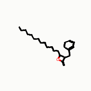 C=C1OC(CCCCCCCCCCCCC)C1Cc1ccccc1